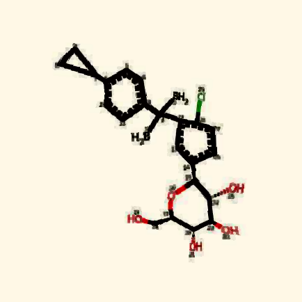 BC(B)(c1ccc(C2CC2)cc1)c1cc([C@@H]2O[C@H](CO)[C@@H](O)[C@H](O)[C@H]2O)ccc1Cl